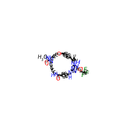 CNC(=O)N1CCCCNC(=O)c2ccc(cc2)Nc2nc(nc(OCC(F)(F)F)n2)NC2(CC2)c2ccc(cc2)OCCC1